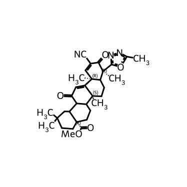 COC(=O)[C@@]12CCC3C(C(=O)C=C4[C@@]5(C)C=C(C#N)C(=O)[C@@](C)(c6nnc(C)o6)C5CC[C@]43C)C1CC(C)(C)CC2